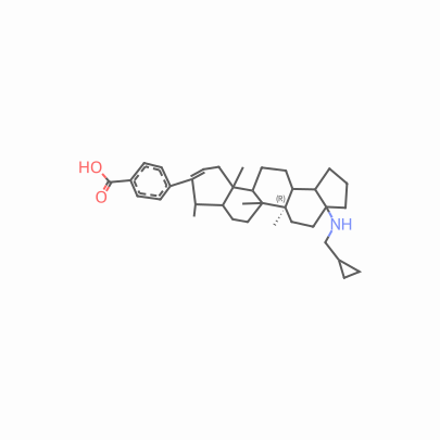 CC1C(c2ccc(C(=O)O)cc2)=CCC2(C)C1CCC1(C)C2CCC2C3CCCC3(NCC3CC3)CC[C@]21C